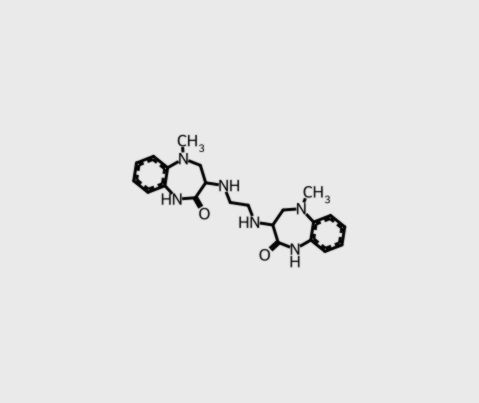 CN1CC(NCCNC2CN(C)c3ccccc3NC2=O)C(=O)Nc2ccccc21